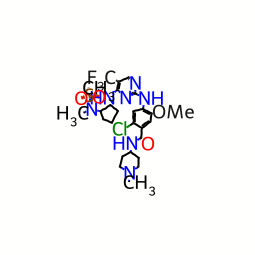 COc1cc(C(=O)NC2CCN(C)CC2)c(Cl)cc1Nc1ncc(C(F)(F)F)c(N[C@@H]2CCC[C@H]2N(C)S(C)(=O)=O)n1